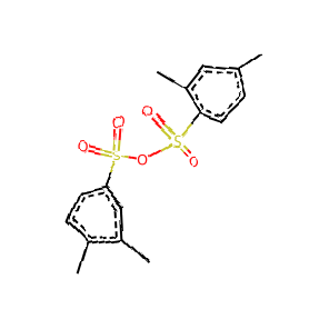 Cc1ccc(S(=O)(=O)OS(=O)(=O)c2ccc(C)c(C)c2)c(C)c1